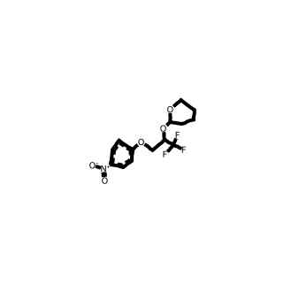 O=[N+]([O-])c1ccc(OCC(OC2CCCCO2)C(F)(F)F)cc1